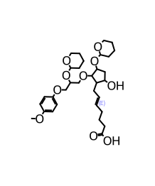 COc1ccc(OCC(COC2C(OC3CCCCO3)CC(O)C2C/C=C/CCCC(=O)O)OC2CCCCO2)cc1